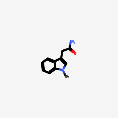 CC(C)n1cc(CC(N)=O)c2ccccc21